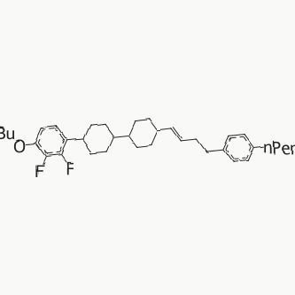 CCCCCc1ccc(CC/C=C/C2CCC(C3CCC(c4ccc(OCCCC)c(F)c4F)CC3)CC2)cc1